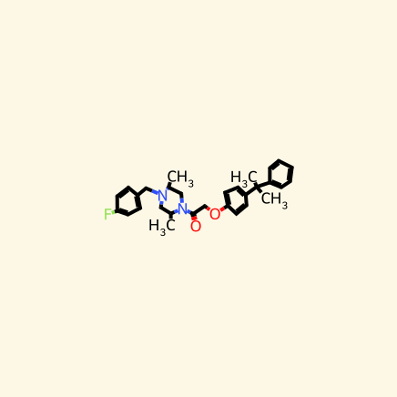 CC1CN(C(=O)COc2ccc(C(C)(C)c3ccccc3)cc2)C(C)CN1Cc1ccc(F)cc1